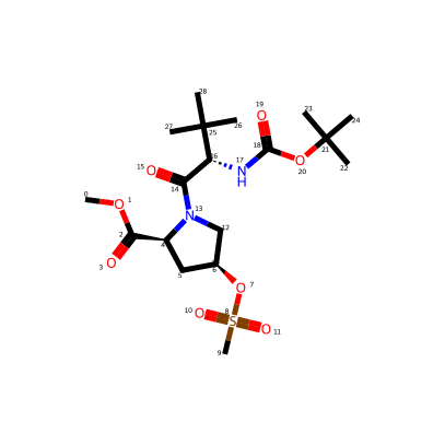 COC(=O)[C@@H]1C[C@H](OS(C)(=O)=O)CN1C(=O)[C@@H](NC(=O)OC(C)(C)C)C(C)(C)C